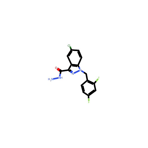 NNC(=O)c1nn(Cc2ccc(F)cc2F)c2ccc(Cl)cc12